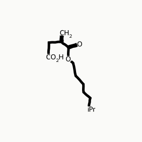 C=C(CC(=O)O)C(=O)OCCCCCC(C)C